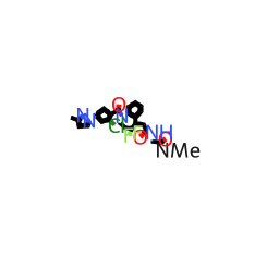 CNC(=O)CNC(=O)C=C1c2ccccc2N(C(=O)c2ccc(-n3ccc(C)n3)cc2Cl)CCC1(F)F